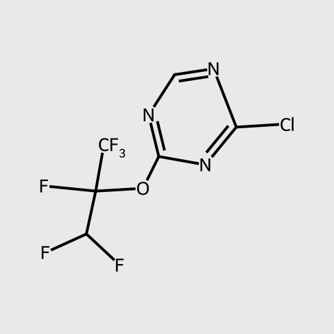 FC(F)C(F)(Oc1ncnc(Cl)n1)C(F)(F)F